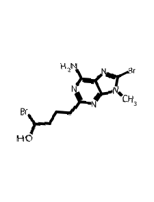 Cn1c(Br)nc2c(N)nc(CCCC(O)Br)nc21